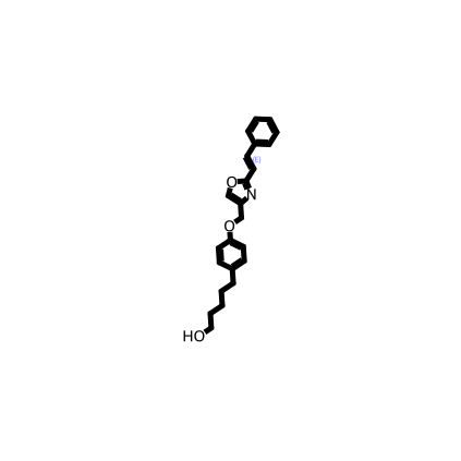 OCCCCCc1ccc(OCc2coc(/C=C/c3ccccc3)n2)cc1